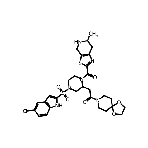 CC1Cc2nc(C(=O)N3CCN(S(=O)(=O)c4cc5cc(Cl)ccc5[nH]4)CC3CC(=O)N3CCC4(CC3)OCCO4)sc2CN1